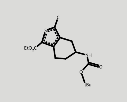 CCOC(=O)c1sc(Cl)c2c1CCC(NC(=O)OC(C)(C)C)C2